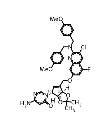 COc1ccc(CN(Cc2ccc(OC)cc2)c2nc3cc(OCC4=C[C@@H](n5cnc(N)cc5=O)[C@@H]5OC(C)(C)O[C@H]45)cc(F)c3cc2Cl)cc1